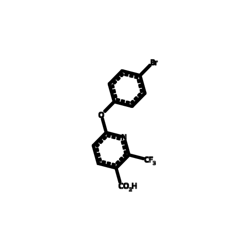 O=C(O)c1ccc(Oc2ccc(Br)cc2)nc1C(F)(F)F